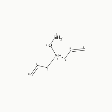 C=CC[SiH](CC=C)O[SiH2]